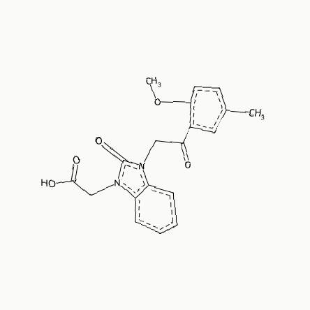 COc1ccc(C)cc1C(=O)Cn1c(=O)n(CC(=O)O)c2ccccc21